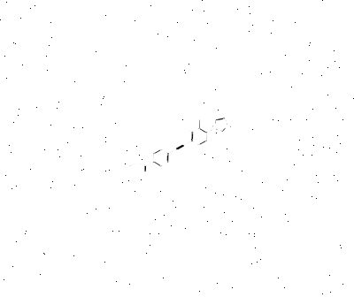 CCOC(=O)c1ccc(C#Cc2ccc(-n3ccnc3)c(C)c2C)cc1